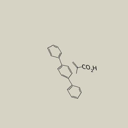 C=C(C)C(=O)O.c1ccc(-c2ccc(-c3ccccc3)cc2)cc1